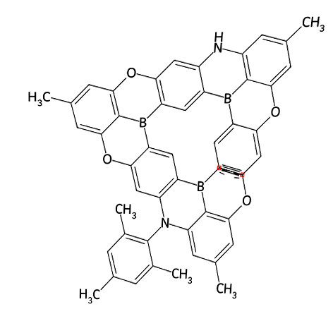 Cc1cc(C)c(N2c3cc4c(cc3B3c5ccccc5Oc5cc(C)cc2c53)B2c3cc5c(cc3Oc3cc(C)cc(c32)O4)Nc2cc(C)cc3c2B5c2ccccc2O3)c(C)c1